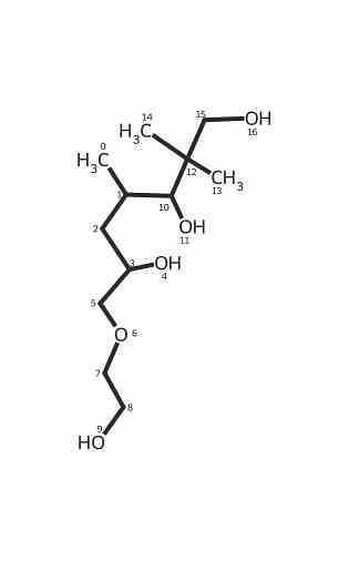 CC(CC(O)COCCO)C(O)C(C)(C)CO